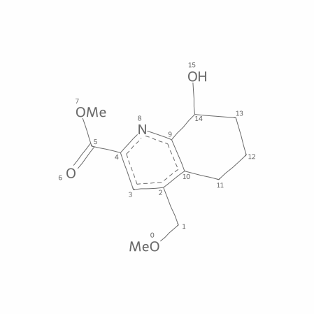 COCc1cc(C(=O)OC)nc2c1CCCC2O